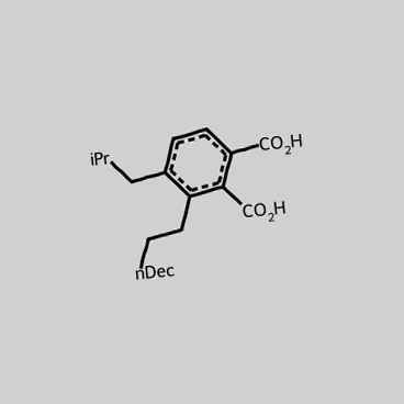 CCCCCCCCCCCCc1c(CC(C)C)ccc(C(=O)O)c1C(=O)O